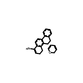 C1=CCOC=C1.CCCC1=CCCc2c1ccc1c2CCc2ccccc2-1